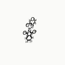 O=C1COCCN1CCN1C(=O)c2ccccc2C1=O